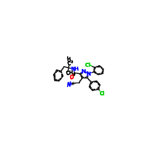 CC(C)(Cc1ccccc1)NC(=O)c1nn(-c2ccccc2Cl)c(-c2ccc(Cl)cc2)c1CC#N